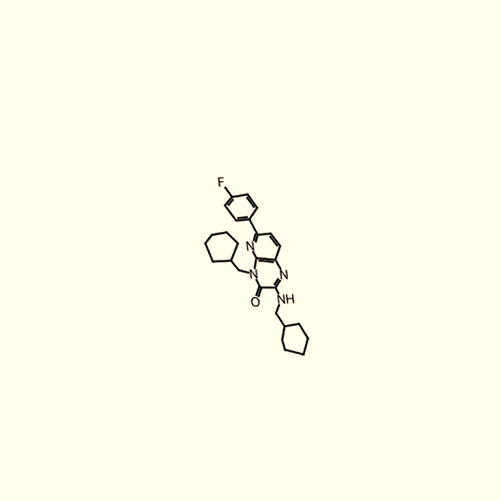 O=c1c(NCC2CCCCC2)nc2ccc(-c3ccc(F)cc3)nc2n1CC1CCCCC1